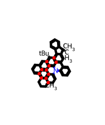 CC1C=C(c2cccc3cccc(C4CCCCC4)c23)C(N(c2ccccc2-c2ccc3c(c2)C(C)(C)c2ccccc2-3)c2ccc(C(C)(C)C)cc2-c2ccccc2)=CC1